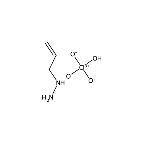 C=CCNN.[O-][Cl+3]([O-])([O-])O